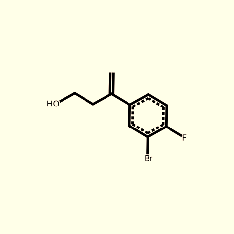 C=C(CCO)c1ccc(F)c(Br)c1